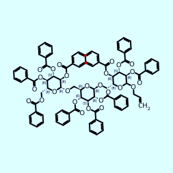 C=CCOC1O[C@H](CO[C@@H]2O[C@H](CO[C@@H]3O[C@H](COC(=O)c4ccccc4)[C@@H](OC(=O)c4ccccc4)[C@H](OC(=O)c4ccccc4)[C@H]3OC(=O)c3ccccc3)[C@@H](OC(=O)c3ccccc3)[C@H](OC(=O)c3ccccc3)[C@H]2OC(=O)c2ccccc2)[C@@H](OC(=O)c2ccccc2)[C@H](OC(=O)c2ccccc2)[C@H]1OC(=O)c1ccccc1